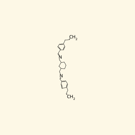 C=CCc1ccc(C=NCC2CCCC(CN=Cc3ccc(CC=C)cc3)C2)cc1